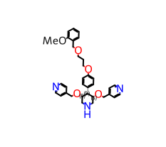 COc1ccccc1COCCCOc1ccc([C@H]2[C@@H](OCc3ccncc3)CNC[C@H]2OCc2ccncc2)cc1